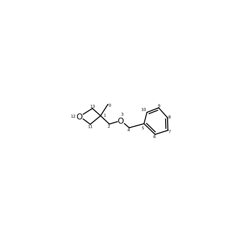 CC1(COCc2ccccc2)COC1